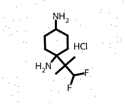 CC(C)(C(F)F)C1(N)CCC(N)CC1.Cl